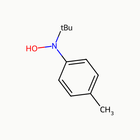 Cc1ccc(N(O)C(C)(C)C)cc1